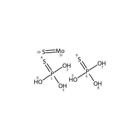 OP(O)(O)=S.OP(O)(O)=S.[S]=[Mo]